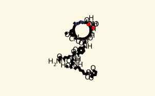 C=C(CCCCC(=O)ON1C(=O)CCC1=O)N[C@H](C(=O)N[C@@H](CCCNC(N)=O)C(=O)Nc1ccc(NC(=O)O[C@H]2CC(=O)N(C)c3cc(cc(OC)c3Cl)C/C(C)=C/C=C/[C@@H](OC)[C@@]3(O)C[C@H](OC(=O)N3)[C@@H](C)[C@@H]3O[C@@]23C)cc1OC)C(C)OC